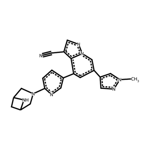 Cn1cc(-c2cc(-c3ccc(N4CC5CC(C4)N5)nc3)c3c(C#N)cnn3c2)cn1